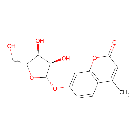 Cc1cc(=O)oc2cc(O[C@@H]3O[C@H](CO)[C@@H](O)[C@H]3O)ccc12